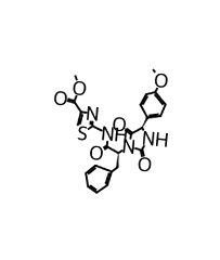 COC(=O)c1csc(NC(=O)[C@H](Cc2ccccc2)N2C(=O)N[C@H](c3ccc(OC)cc3)C2=O)n1